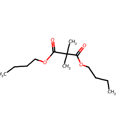 CCCCOC(=O)C(C)(C)C(=O)OCCCC